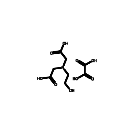 O=C(O)C(=O)O.O=C(O)CN(CCO)CC(=O)O